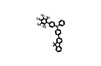 [2H]c1c([2H])c([2H])c(-c2ccc(N(c3ccccc3)c3ccc(-c4ccc5c(c4)C(C)(C)c4ccccc4-5)cc3)cc2)c([2H])c1[2H]